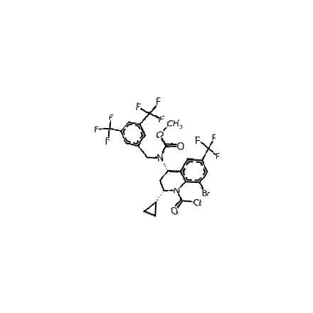 COC(=O)N(Cc1cc(C(F)(F)F)cc(C(F)(F)F)c1)[C@H]1C[C@@H](C2CC2)N(C(=O)Cl)c2c(Br)cc(C(F)(F)F)cc21